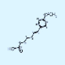 COc1ccc(/C=C/CCCCC(=O)O)cc1